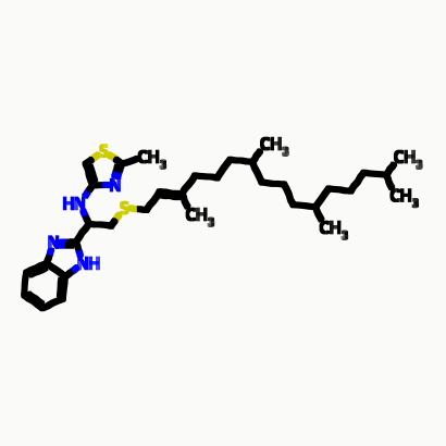 C/C(=C\CSCC(Nc1csc(C)n1)c1nc2ccccc2[nH]1)CCCC(C)CCCC(C)CCCC(C)C